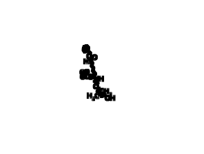 CS(=O)(=O)[O-].C[N+](C)(CCO)CCOCCNC(=O)CCCCCNC(=O)OCc1ccccc1